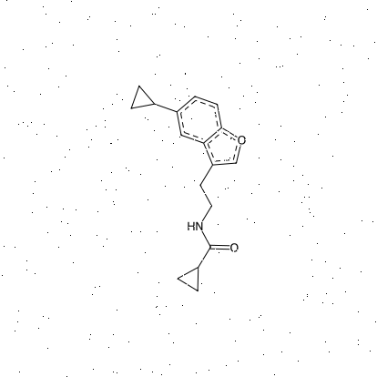 O=C(NCCc1coc2ccc(C3CC3)cc12)C1CC1